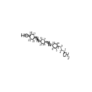 CCCCc1ccc(/N=N/c2ccc(N=Nc3ccc(O)cc3)cc2)cc1